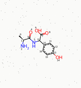 C[C@H](N)C(=O)NC(C(=O)O)c1ccc(O)cc1